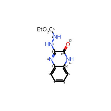 CCOC(=O)NNc1nc2ccccc2[nH]c1=O